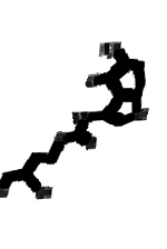 Bc1ccc2[nH]cc(NC(=O)OCCC(O)CO)c2c1Cl